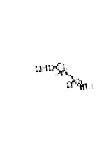 CC(C)(C)OC(=O)CC[C@]1(C)CC[C@H](C=O)C1(C)C